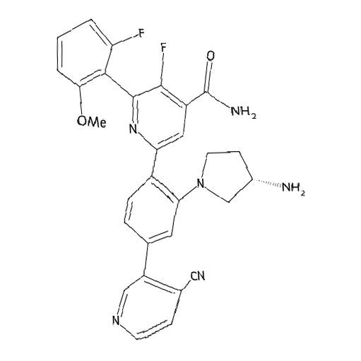 COc1cccc(F)c1-c1nc(-c2ccc(-c3cnccc3C#N)cc2N2CC[C@H](N)C2)cc(C(N)=O)c1F